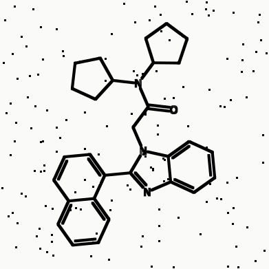 O=C(Cn1c(-c2cccc3ccccc23)nc2ccccc21)N(C1CCCC1)C1CCCC1